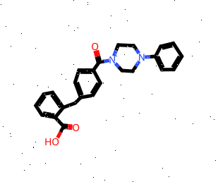 O=C(O)c1ccccc1Cc1c[c]c(C(=O)N2CCN(c3ccccc3)CC2)cc1